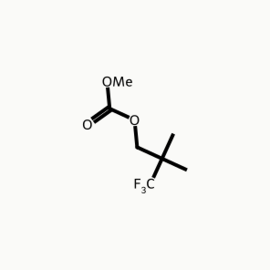 COC(=O)OCC(C)(C)C(F)(F)F